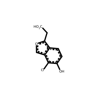 O=C(O)Cc1occ2c(Cl)c(O)ccc12